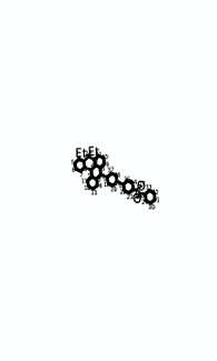 CCC1(CC)c2ccccc2-c2c3ccccc3c(-c3ccc(-c4ccc(S(=O)(=O)c5ccccc5)cc4)cc3)c3cccc1c23